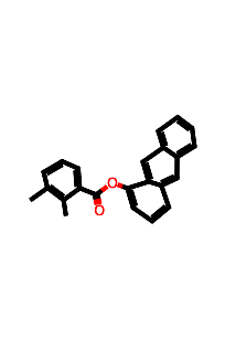 Cc1cccc(C(=O)Oc2cccc3cc4ccccc4cc23)c1C